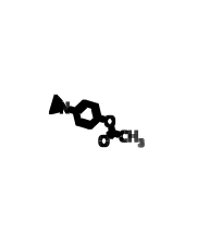 CC(=O)Oc1ccc(N2C=C2)cc1